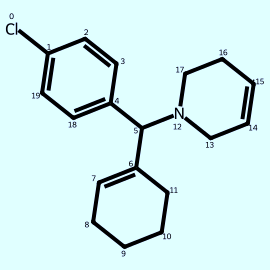 Clc1ccc(C(C2=CCCCC2)N2CC=[C]CC2)cc1